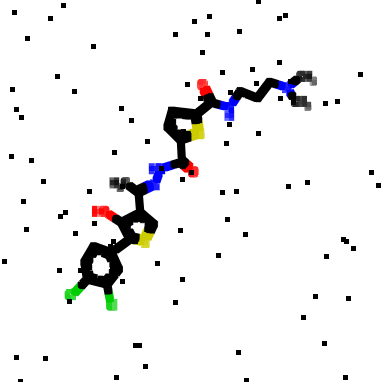 C/C(=N\NC(=O)c1ccc(C(=O)NCCCN(C)C)s1)c1csc(-c2ccc(Cl)c(Cl)c2)c1O